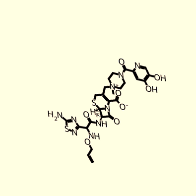 C=CCONC(C(=O)N[C@@H]1C(=O)N2C(C(=O)[O-])=C(C[N+]3(C)CCN(C(=O)c4cc(O)c(O)cn4)CC3)CS[C@@H]12)c1nsc(N)n1